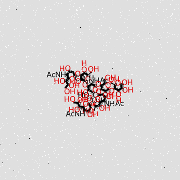 CC(=O)N[C@H]1[C@H](O[C@@H]2[C@H](O[C@]3(C(=O)O)C[C@H](O)[C@@H](NC(C)=O)[C@H]([C@H](O)[C@@H](CO)O[C@]4(C(=O)O)C[C@H](O)[C@@H](NC(C)=O)[C@H]([C@H](O)[C@H](O)CO)O4)O3)[C@@H](O)[C@H](O[C@H]3[C@H](O)[C@@H](O)[C@H](O)O[C@@H]3CO)O[C@@H]2CO)O[C@H](CO)[C@H](O)[C@@H]1O[C@@H]1O[C@H](CO)[C@H](O)[C@H](O[C@]2(C(=O)O)C[C@H](O)[C@@H](NC(C)=O)[C@H]([C@H](O)[C@H](O)CO)O2)[C@H]1O